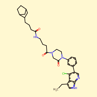 CCc1c[nH]c2ncc(-c3cccc(N4CCN(C(=O)CCCNC(=O)CCCC5CC6CCC5C6)CC4=O)c3)c(Cl)c12